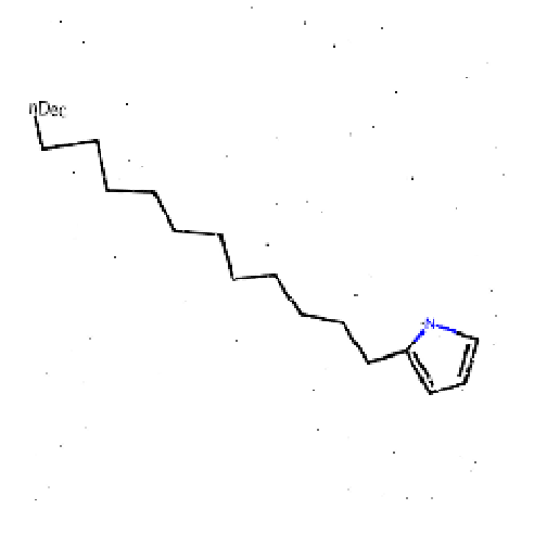 CCCCCCCCCCCCCCCCCCCCCC1=CC=C[N]1